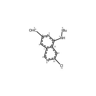 CC(C)(C)Nc1nc(C=O)cc2cnc(Cl)cc12